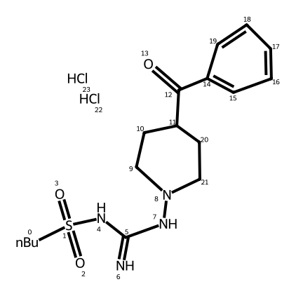 CCCCS(=O)(=O)NC(=N)NN1CCC(C(=O)c2ccccc2)CC1.Cl.Cl